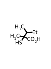 CCC(C)C(C)(S)C(=O)O